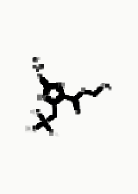 CCOC(=O)c1[nH]c(=O)[nH]c1C[N+](C)(C)C.O.[Br-]